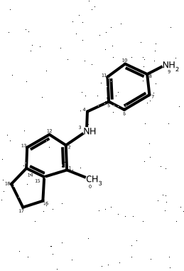 Cc1c(NCc2ccc(N)cc2)ccc2c1CCC2